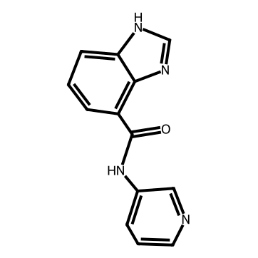 O=C(Nc1cccnc1)c1cccc2[nH]cnc12